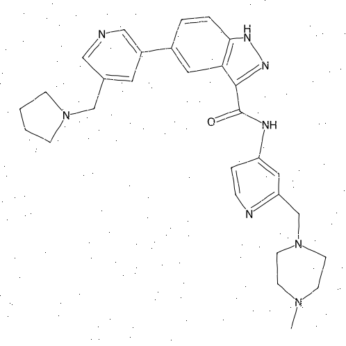 CN1CCN(Cc2cc(NC(=O)c3n[nH]c4ccc(-c5cncc(CN6CCCC6)c5)cc34)ccn2)CC1